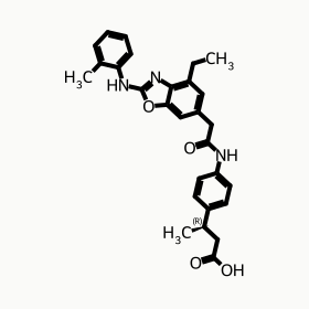 CCc1cc(CC(=O)Nc2ccc([C@H](C)CC(=O)O)cc2)cc2oc(Nc3ccccc3C)nc12